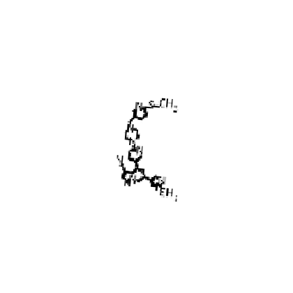 CCSc1ccc(CN2CCN(c3ccc(-c4cc(-c5cnn(C)c5)cn5ncc(C#N)c45)cn3)CC2)cn1